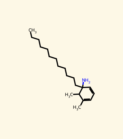 CCCCCCCCCCCCC1(N)C=CC=C(C)C1C